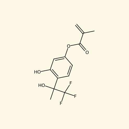 C=C(C)C(=O)Oc1ccc(C(C)(O)C(F)(F)F)c(O)c1